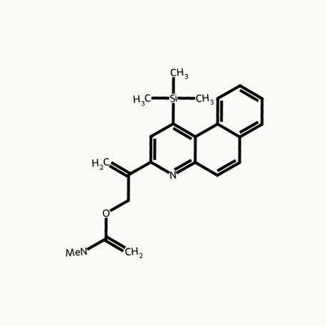 C=C(NC)OCC(=C)c1cc([Si](C)(C)C)c2c(ccc3ccccc32)n1